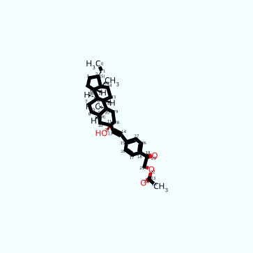 CC[C@H]1CC[C@H]2[C@@H]3CC[C@@H]4C[C@@](O)(C#Cc5ccc(C(=O)COC(C)=O)cc5)CC[C@]4(C)[C@H]3CC[C@]12C